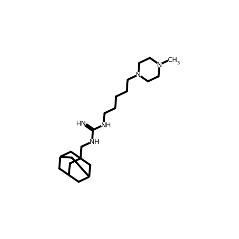 CN1CCN(CCCCCNC(=N)NCC23CC4CC(CC(C4)C2)C3)CC1